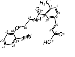 Cc1ccc(/C=C/C(=O)O)cc1C(=O)NCCOc1ccccc1C#N